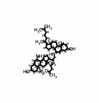 CC(C)CCC[C@@H](CN[C@@H]1C=C2C[C@@H](O)CC[C@]2(C)C2CC[C@@]3(C)C(CCC3[C@H](C)CCCC(C)C)C21)C1CCC2C3C(CC[C@@]21C)[C@@]1(C)CC[C@H](O)CC1=C[C@@H]3N